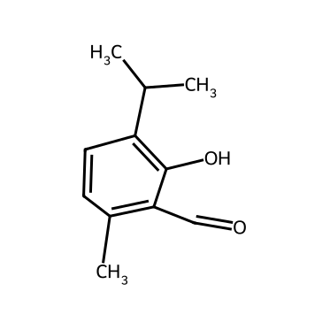 Cc1ccc(C(C)C)c(O)c1C=O